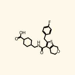 O=C(NCC1CCC(C(=O)O)CC1)c1c(Cc2ccc(F)cc2)sc2c1CCOC2